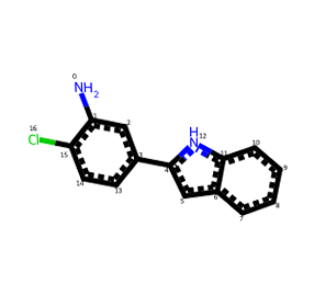 Nc1cc(-c2cc3ccccc3[nH]2)ccc1Cl